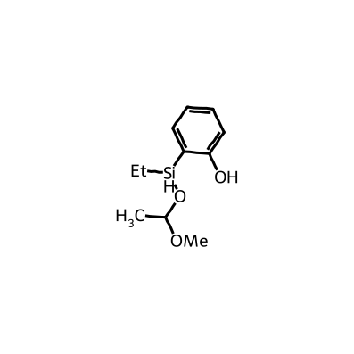 CC[SiH](OC(C)OC)c1ccccc1O